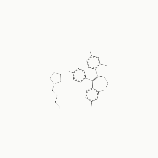 Cc1cc(F)ccc1C1=C(c2ccc(O[C@H]3CCN(CCCF)C3)cc2)c2ccc(O)cc2OCC1